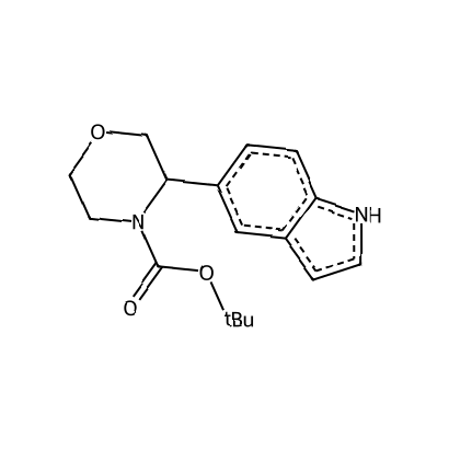 CC(C)(C)OC(=O)N1CCOCC1c1ccc2[nH]ccc2c1